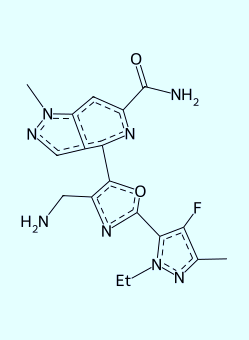 CCn1nc(C)c(F)c1-c1nc(CN)c(-c2nc(C(N)=O)cc3c2cnn3C)o1